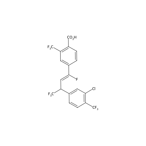 O=C(O)c1ccc(C(F)=CC(c2ccc(C(F)(F)F)c(Cl)c2)C(F)(F)F)cc1C(F)(F)F